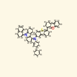 c1ccc(-c2ccc3c(c2)c2ccc4c(c5ccccc5n4-c4cccc5ccccc45)c2n3-c2ccc3sc4c(-c5cccc6c5oc5ccccc56)cccc4c3c2)cc1